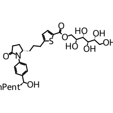 CCCCC[C@H](O)c1ccc(N2C(=O)CC[C@@H]2CCCc2ccc(C(=O)OC[C@H](O)[C@H](O)[C@H](O)[C@H](O)CO)s2)cc1